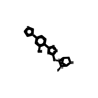 Oc1cc(-n2ccnc2)ccc1-c1nnc(O[C@@H]2C3CNC(C3)[C@@H]2F)s1